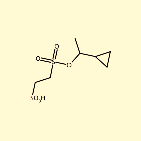 CC(OS(=O)(=O)CCS(=O)(=O)O)C1CC1